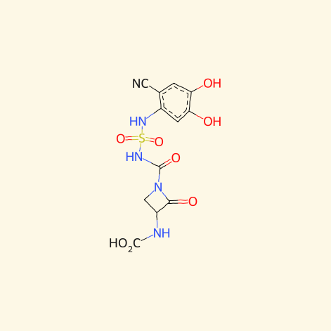 N#Cc1cc(O)c(O)cc1NS(=O)(=O)NC(=O)N1CC(NC(=O)O)C1=O